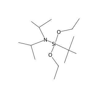 CCO[Si](OCC)(N(C(C)C)C(C)C)C(C)(C)C